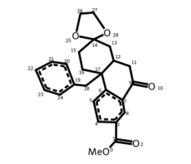 COC(=O)c1ccc2c(c1)C(=O)CC1CC3(CCC21Cc1ccccc1)OCCO3